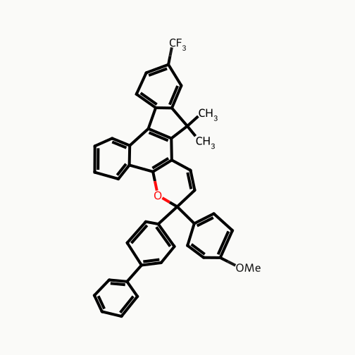 COc1ccc(C2(c3ccc(-c4ccccc4)cc3)C=Cc3c4c(c5ccccc5c3O2)-c2ccc(C(F)(F)F)cc2C4(C)C)cc1